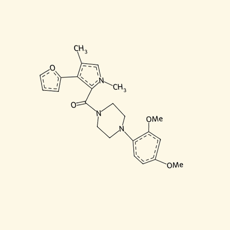 COc1ccc(N2CCN(C(=O)c3c(-c4ccco4)c(C)cn3C)CC2)c(OC)c1